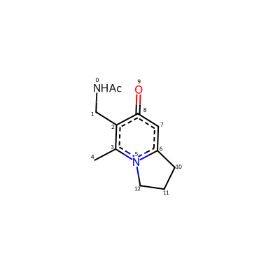 CC(=O)NCc1c(C)n2c(cc1=O)CCC2